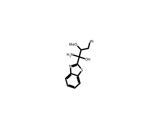 COC(CC(C)C)C(N)(O)c1nc2ccccc2s1